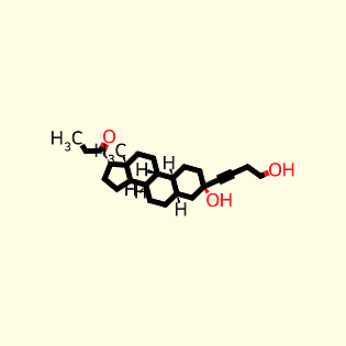 CCC(=O)[C@H]1CC[C@H]2[C@@H]3CC[C@@H]4C[C@@](O)(C#CCCO)CC[C@@H]4[C@H]3CC[C@]12C